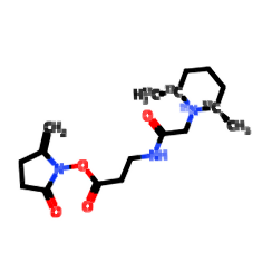 C=C1CCC(=O)N1OC(=O)CCNC(=O)C[15N]1[13C@H](C)CCC[13C@@H]1[13CH3]